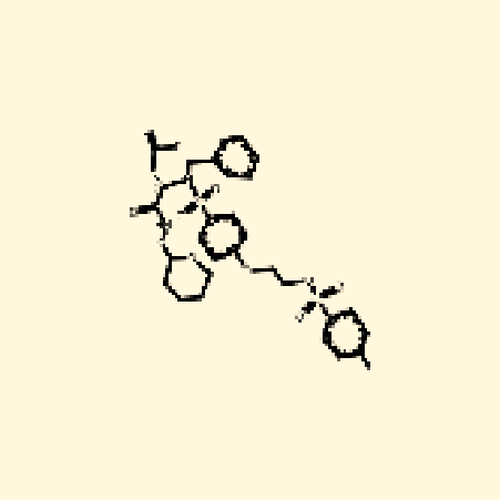 C=C(F)C[C@@H](C(=O)NOC1CCCCO1)N(Cc1ccccc1)S(=O)(=O)c1ccc(OCCOS(=O)(=O)c2ccc(C)cc2)cc1